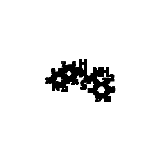 N[C@@H](C(=S)Nc1ccc2ccncc2c1)C1CCCCC1